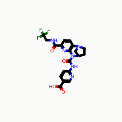 O=C(O)c1ccc(NC(=O)N2c3nc(C(=O)NCC(F)(F)F)ccc3N3CCC2C3)nc1